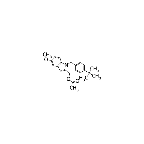 COc1ccc2c(c1)cc(COC(C)=O)n2Cc1ccc(C(C)(C)C)cc1